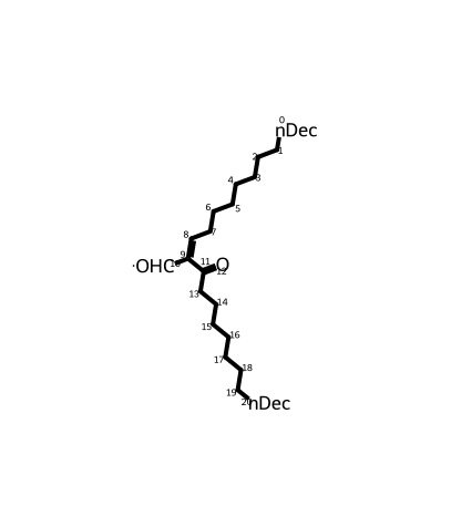 CCCCCCCCCCCCCCCCCC=C([C]=O)C(=O)CCCCCCCCCCCCCCCCC